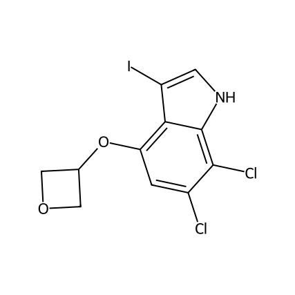 Clc1cc(OC2COC2)c2c(I)c[nH]c2c1Cl